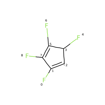 FC1=[C]C(F)C(F)=C1F